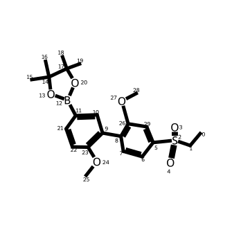 CCS(=O)(=O)c1ccc(-c2cc(B3OC(C)(C)C(C)(C)O3)ccc2OC)c(OC)c1